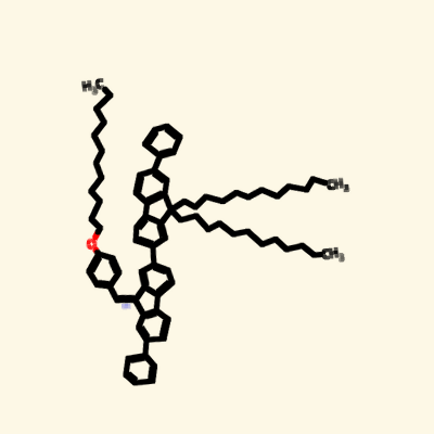 CCCCCCCCCCCCOc1ccc(/C=C2/c3cc(-c4ccccc4)ccc3-c3ccc(-c4ccc5c(c4)C(CCCCCCCCCCCC)(CCCCCCCCCCCC)c4cc(-c6ccccc6)ccc4-5)cc32)cc1